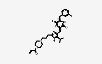 C=CC(=O)N1CCN(CCCc2nc(/C=c3\[nH]c(=O)/c(=C/c4cccc(F)c4)[nH]c3=O)c(C(C)C)[nH]2)CC1